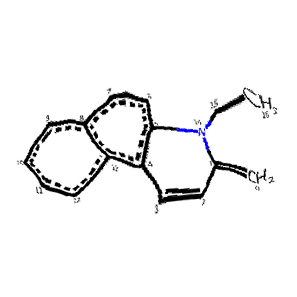 C=C1C=Cc2c(ccc3ccccc23)N1CC